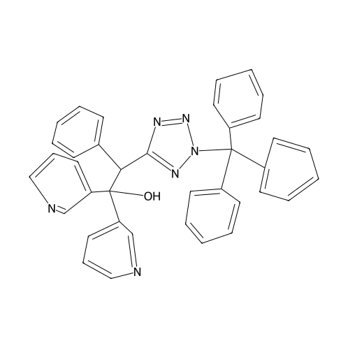 OC(c1cccnc1)(c1cccnc1)C(c1ccccc1)c1nnn(C(c2ccccc2)(c2ccccc2)c2ccccc2)n1